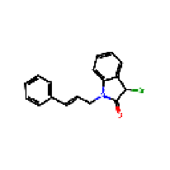 O=C1C(Br)c2ccccc2N1CC=Cc1ccccc1